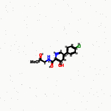 COC(=O)CNC(=O)c1ncc(-c2ccc(Cl)cc2)cc1O